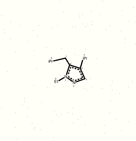 CCn1ncc(C(C)C)c1CC(C)C